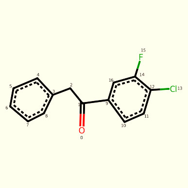 O=C(Cc1ccccc1)c1ccc(Cl)c(F)c1